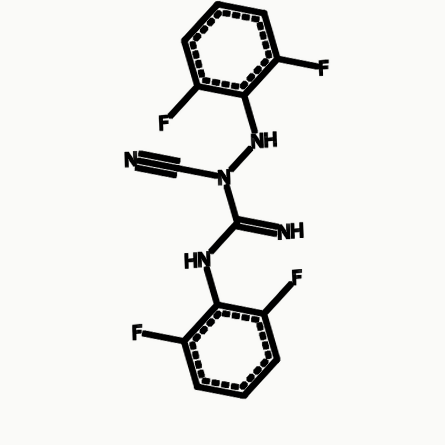 N#CN(Nc1c(F)cccc1F)C(=N)Nc1c(F)cccc1F